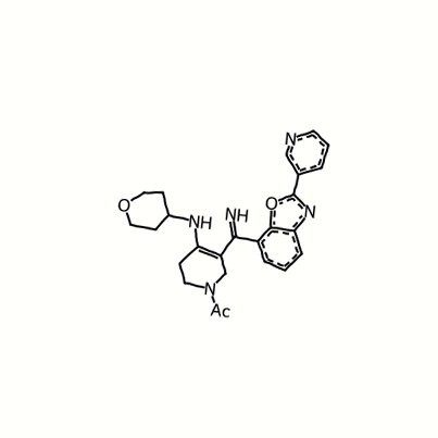 CC(=O)N1CCC(NC2CCOCC2)=C(C(=N)c2cccc3nc(-c4cccnc4)oc23)C1